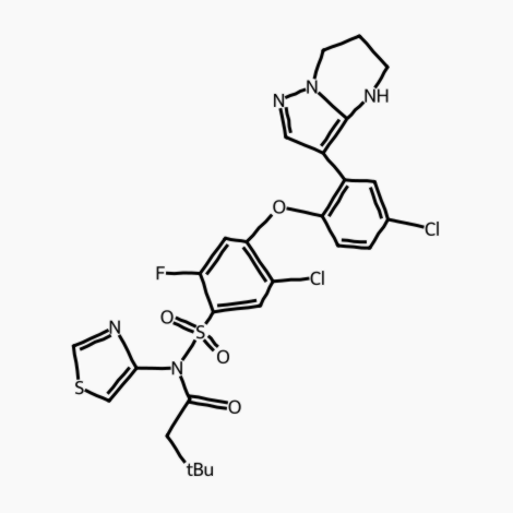 CC(C)(C)CC(=O)N(c1cscn1)S(=O)(=O)c1cc(Cl)c(Oc2ccc(Cl)cc2-c2cnn3c2NCCC3)cc1F